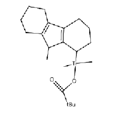 CC1C2=C(CCCC2)C2=C1[CH]([Ti]([CH3])([CH3])[O]C(=O)C(C)(C)C)CCC2